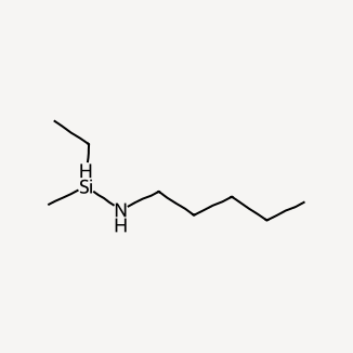 CCCCCN[SiH](C)CC